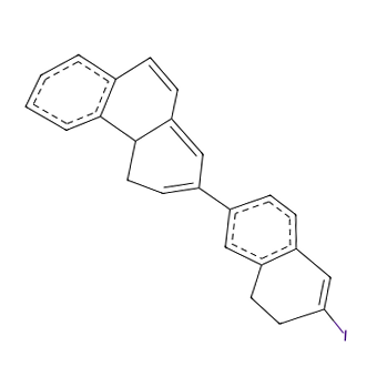 IC1=Cc2ccc(C3=CCC4C(=C3)C=Cc3ccccc34)cc2CC1